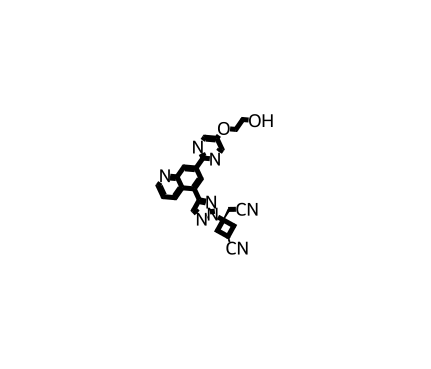 N#CC[C@]1(n2ncc(-c3cc(-c4ncc(OCCO)cn4)cc4ncccc34)n2)C[C@@H](C#N)C1